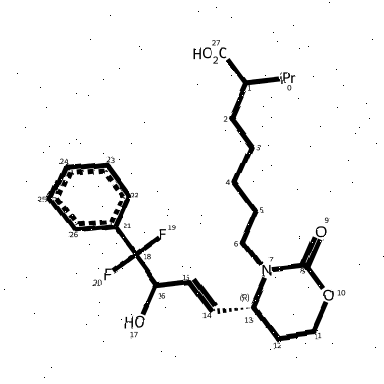 CC(C)C(CCCCCN1C(=O)OCC[C@@H]1C=CC(O)C(F)(F)c1ccccc1)C(=O)O